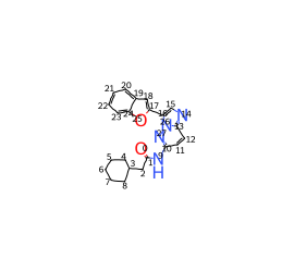 O=C(CC1CCCCC1)Nc1ccc2ncc(-c3cc4ccccc4o3)n2n1